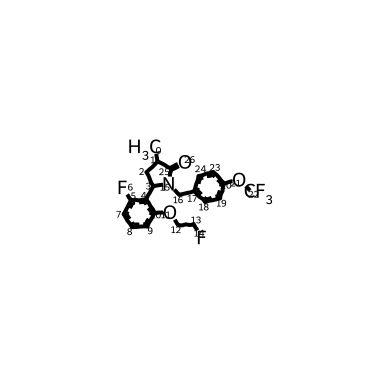 CC1CC(c2c(F)cccc2OCCF)N(Cc2ccc(OC(F)(F)F)cc2)C1=O